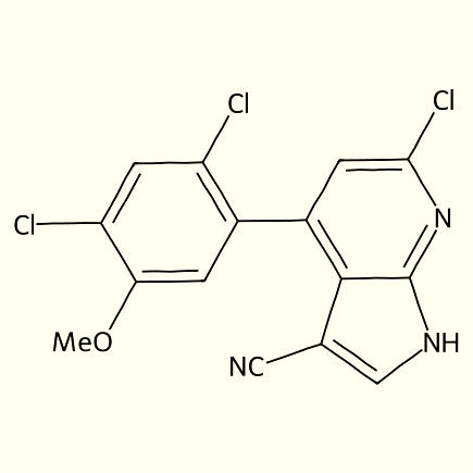 COc1cc(-c2cc(Cl)nc3[nH]cc(C#N)c23)c(Cl)cc1Cl